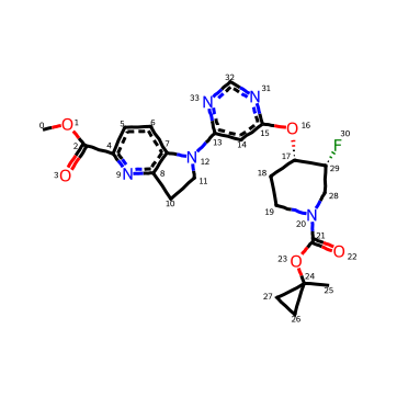 COC(=O)c1ccc2c(n1)CCN2c1cc(O[C@H]2CCN(C(=O)OC3(C)CC3)C[C@H]2F)ncn1